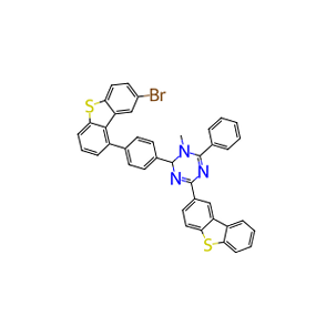 CN1C(c2ccccc2)=NC(c2ccc3sc4ccccc4c3c2)=NC1c1ccc(-c2cccc3sc4ccc(Br)cc4c23)cc1